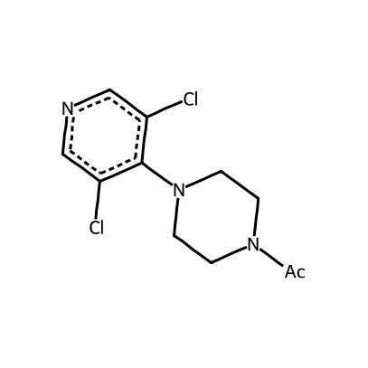 CC(=O)N1CCN(c2c(Cl)cncc2Cl)CC1